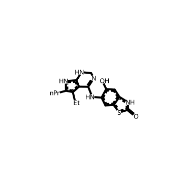 CCCc1[nH]c2c(c1CC)C(Nc1cc3sc(=O)[nH]c3cc1O)=NCN2